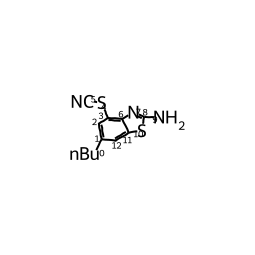 CCCCc1cc(SC#N)c2nc(N)sc2c1